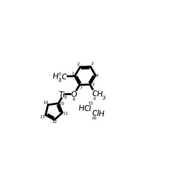 Cc1cccc(C)c1[O][Ti][C]1=CC=CC1.Cl.Cl